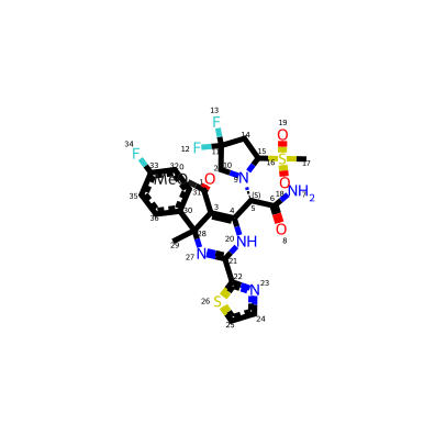 COC(=O)C1=C([C@@H](C(N)=O)N2CC(F)(F)CC2S(C)(=O)=O)NC(c2nccs2)=NC1(C)c1ccc(F)cc1